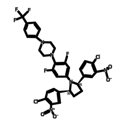 O=[N+]([O-])c1cc([C@H]2CC[C@@H](c3ccc(Cl)c([N+](=O)[O-])c3)N2c2cc(F)c(N3CCN(c4ccc(C(F)(F)F)cc4)CC3)c(F)c2)ccc1Cl